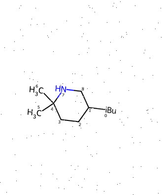 CCC(C)C1CCC(C)(C)NC1